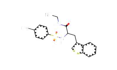 CC(C)(C)c1ccc(S(=O)(=O)NC(Cc2csc3ccccc23)C(=O)NCC#N)cc1